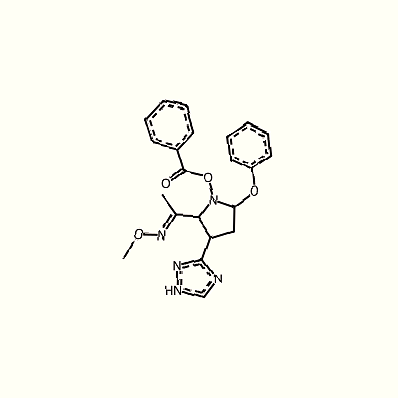 CON=C(C)C1C(c2nc[nH]n2)CC(Oc2ccccc2)N1OC(=O)c1ccccc1